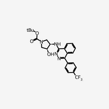 CC(C)(C)OC(=O)N1C[C@H](O)[C@H](Nc2nnc(-c3ccc(C(F)(F)F)cc3)c3ccccc23)C1